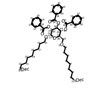 CCCCCCCCCCCCCCCCCCOC[C@H]1O[C@H](OCCCCCCCCCCCCCCCCCC)[C@H](OC(=O)c2ccccc2)[C@@H](OC(=O)c2ccccc2)[C@@H]1OC(=O)c1ccccc1